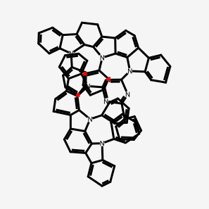 c1ccc(-c2nc(-n3c4ccccc4c4ccc5c6c(n(-c7ccccc7)c5c43)-c3c(c4ccccc4n3-c3ccccc3)CC6)nc(-n3c4ccccc4c4ccc5c6ccc7c8ccccc8n(-c8ccccc8)c7c6n(-c6ccccc6)c5c43)n2)cc1